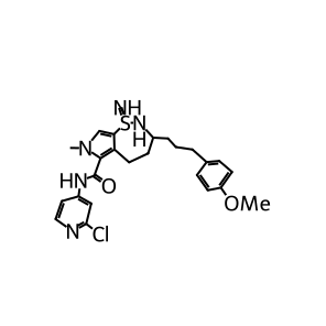 COc1ccc(CCCC2CCc3c(cn(C)c3C(=O)Nc3ccnc(Cl)c3)S(=N)N2)cc1